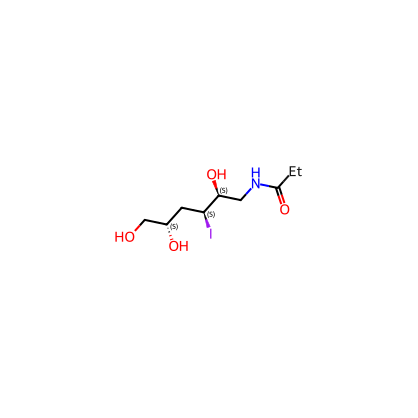 CCC(=O)NC[C@H](O)[C@@H](I)C[C@H](O)CO